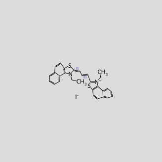 CCN1/C(=C\C=C\c2sc3ccc4ccccc4c3[n+]2CC)Sc2ccc3ccccc3c21.[I-]